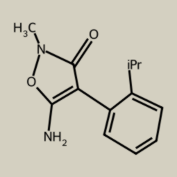 CC(C)c1ccccc1-c1c(N)on(C)c1=O